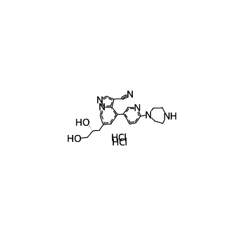 Cl.Cl.N#Cc1cnn2cc(C[C@@H](O)CO)cc(-c3ccc(N4CCNCC4)nc3)c12